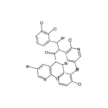 O=C(C(c1cc(Br)cnc1Cl)C(Br)c1cccc(Cl)c1Cl)C(c1cc(Br)cnc1Cl)C(Br)c1cccc(Cl)c1Cl